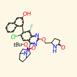 CC(C)(C)OC(=O)N1C2CCC1CN(c1nc(OCC3CCC(=O)N3)nc3c(F)c(-c4cc(O)cc5ccccc45)c(Cl)cc13)C2